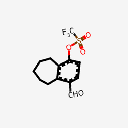 O=Cc1ccc(OS(=O)(=O)C(F)(F)F)c2c1CCCCC2